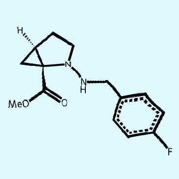 COC(=O)[C@@]12C[C@H]1CCN2NCc1ccc(F)cc1